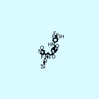 COc1cc(-c2cc(C(=O)N3CC4COCC3CC4C(=O)N[C@H]3CC[C@@](O)(C(F)(F)F)CC3)nn2COCC[Si](C)(C)C)c(F)cn1